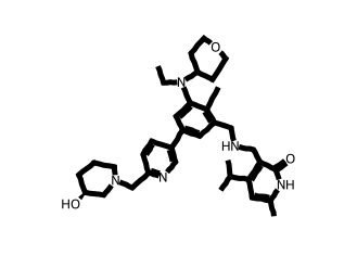 CCN(c1cc(-c2ccc(CN3CCC[C@H](O)C3)nc2)cc(CNCc2c(C(C)C)cc(C)[nH]c2=O)c1C)C1CCOCC1